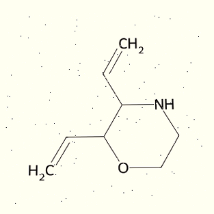 C=CC1NCCOC1C=C